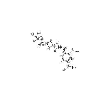 CCc1nc(C(F)F)ccc1SN1CC2(C1)CN(C(=O)OC(C)(C)C)C2